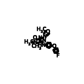 CC(C)N1Cc2c(Nc3ccc(Oc4ccc(F)cc4)cc3)nc(N3CCO[C@H](C)C3)nc2C1=O